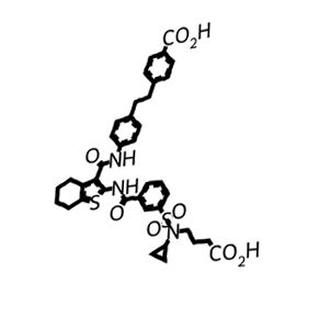 O=C(O)CCCN(C1CC1)S(=O)(=O)c1cccc(C(=O)Nc2sc3c(c2C(=O)Nc2ccc(CCc4ccc(C(=O)O)cc4)cc2)CCCC3)c1